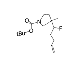 C=CCCC(F)C1(C)CCN(C(=O)OC(C)(C)C)C1